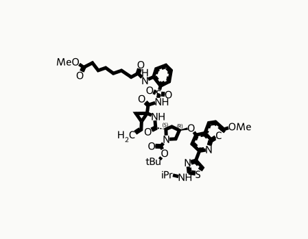 C=CC1CC1(NC(=O)[C@@H]1C[C@@H](Oc2cc(-c3csc(NC(C)C)n3)nc3cc(OC)ccc23)CN1C(=O)OC(C)(C)C)C(=O)NS(=O)(=O)c1ccccc1NC(=O)CCCCCCC(=O)OC